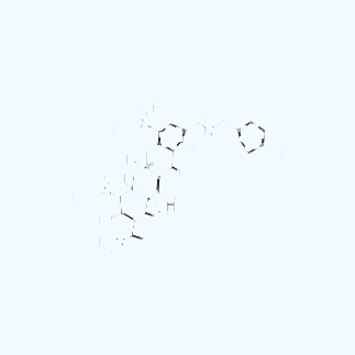 CN(C)c1cc(CNCc2ccc(Cl)cc2)c(O)c2c1C[C@H]1C[C@H]3[C@H](N(C)C)C(O)=C(C(N)=O)C(=O)[C@@]3(O)C(O)=C1C2=O